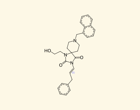 O=C1N(/C=C/Cc2ccccc2)C(=O)C2(CCN(Cc3cccc4ccccc34)CC2)N1CCO